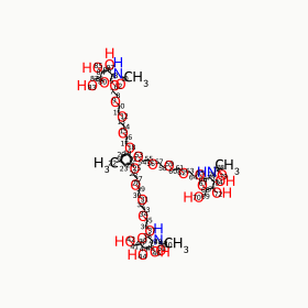 CC(=O)NC1C(OCCOCCOCCOCCOc2cc(C)cc(OCCOCCOCCOCCOC3OC(CO)C(O)C(O)C3NC(C)=O)c2OCCOCCOCCOCCOC2OC(CO)C(O)C(O)C2NC(C)=O)OC(CO)C(O)C1O